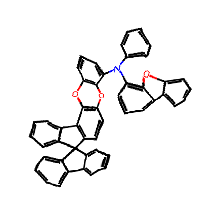 c1ccc(N(c2cccc3c2Oc2ccc4c(c2O3)-c2ccccc2C42c3ccccc3-c3ccccc32)c2cccc3c2oc2ccccc23)cc1